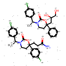 CC[C@@H](c1ccc(Br)cc1)N1CCC(CC(O)CO)(c2ccccc2)OC1=O.C[C@@H](c1ccc(Br)cc1)N1CCC(CCC(N)=O)(c2ccc(F)cc2)OC1=O